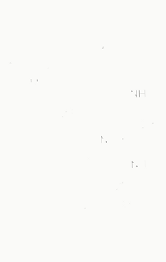 CNC1C(C)[C@@H](COC)O[C@H]1n1cc(C)c(=O)[nH]c1=O